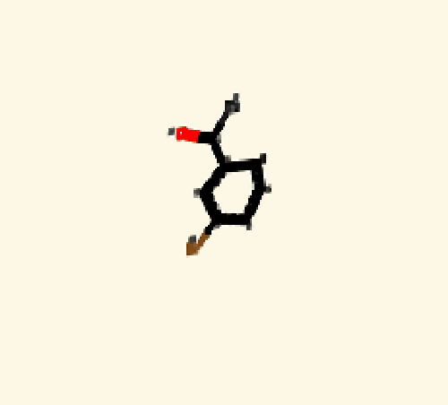 CCC(=O)c1[c]ccc(Br)c1